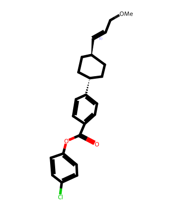 COC/C=C/[C@H]1CC[C@H](c2ccc(C(=O)Oc3ccc(Cl)cc3)cc2)CC1